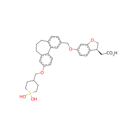 O=C(O)C[C@@H]1COc2cc(OCc3ccc4c(c3)-c3ccc(OCC5CCS(O)(O)CC5)cc3CCC4)ccc21